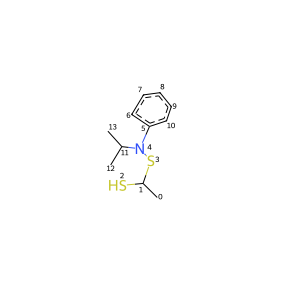 CC(S)SN(c1ccccc1)C(C)C